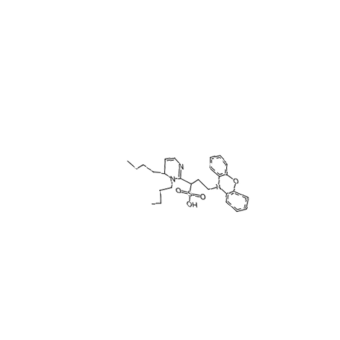 CCCCC1C=CN=C(C(CCN2c3ccccc3Oc3ccccc32)S(=O)(=O)O)N1CCCC